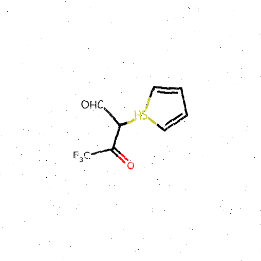 O=CC(C(=O)C(F)(F)F)[SH]1C=CC=C1